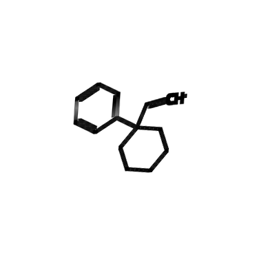 [CH]=CC1(c2ccccc2)CCCCC1